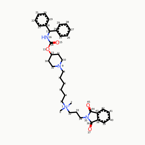 C[N+](C)(CCCCCCN1CCC(OC(=O)NC(c2ccccc2)c2ccccc2)CC1)CCCN1C(=O)c2ccccc2C1=O